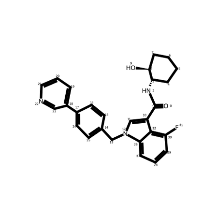 O=C(N[C@H]1CCCC[C@@H]1O)c1cn(Cc2ccc(-c3cccnc3)cc2)c2cccc(F)c12